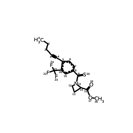 CCCC#Cc1ccc(C(=S)N2CCC2C(=O)OC)cc1C(F)(F)F